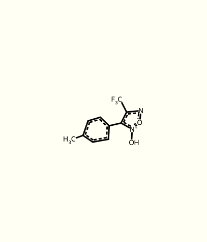 Cc1ccc(-c2c(C(F)(F)F)no[n+]2O)cc1